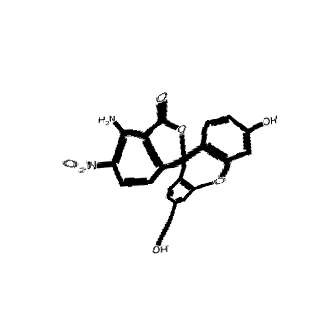 Nc1c([N+](=O)[O-])ccc2c1C(=O)OC21c2ccc(O)cc2Oc2cc(O)ccc21